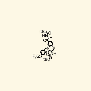 CC(C)(C)OC(=O)N[C@H]1CSc2ccc(C(=O)NNC(=O)C(C)(C)C)cc2N(Cc2ccc(OC(F)(F)F)cc2)C1=O